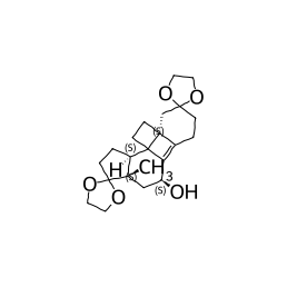 C[C@]12C[C@H](O)C3=C4CCC5(C[C@]46CCC36[C@@H]1CCC21OCCO1)OCCO5